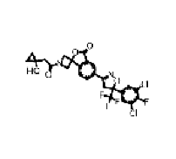 O=C1OC2(CN(C(=O)CC3(O)CC3)C2)c2ccc(C3=NOC(c4cc(Cl)c(F)c(Cl)c4)(C(F)(F)F)C3)cc21